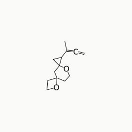 C=C=C(C)C1CC12CC1(CCO1)CCO2